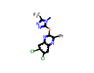 CC(C)c1nc2cc(Cl)c(Cl)cc2nc1Sc1nnc(C(F)(F)F)n1C